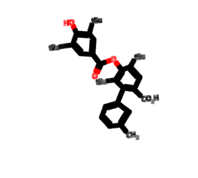 Cc1cccc(-c2c(C(=O)O)cc(C(C)(C)C)c(OC(=O)c3cc(C(C)(C)C)c(O)c(C(C)(C)C)c3)c2C(C)(C)C)c1